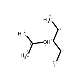 CC(C)O.CCCCCl